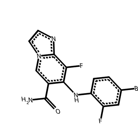 NC(=O)c1cn2ccnc2c(F)c1Nc1ccc(Br)cc1F